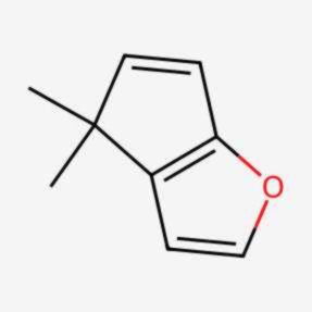 CC1(C)C=Cc2occc21